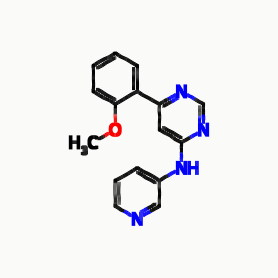 COc1ccccc1-c1cc(Nc2cccnc2)ncn1